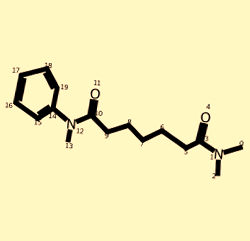 CN(C)C(=O)CCCCCC(=O)N(C)c1ccccc1